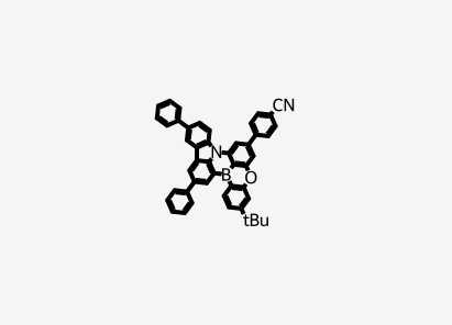 CC(C)(C)c1ccc2c(c1)Oc1cc(-c3ccc(C#N)cc3)cc3c1B2c1cc(-c2ccccc2)cc2c4cc(-c5ccccc5)ccc4n-3c12